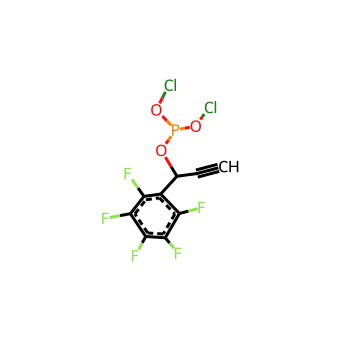 C#CC(OP(OCl)OCl)c1c(F)c(F)c(F)c(F)c1F